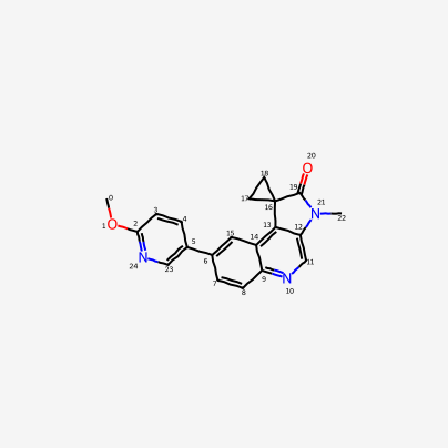 COc1ccc(-c2ccc3ncc4c(c3c2)C2(CC2)C(=O)N4C)cn1